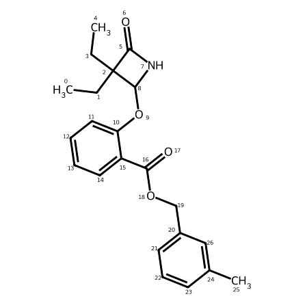 CCC1(CC)C(=O)NC1Oc1ccccc1C(=O)OCc1cccc(C)c1